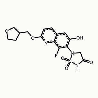 O=C1CN(c2c(O)cc3ccc(OCC4CCOC4)nc3c2F)S(=O)(=O)N1